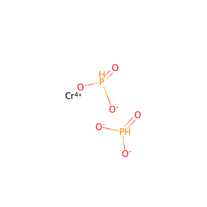 O=[PH]([O-])[O-].O=[PH]([O-])[O-].[Cr+4]